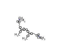 C/C=C(\C)C(=O)OCCCc1ccc(N(c2ccc(C)cc2)c2ccc(Oc3ccc(N(c4ccc(C)cc4)c4ccc(CCCOC(=O)/C(C)=C/C)cc4)cc3)cc2)cc1